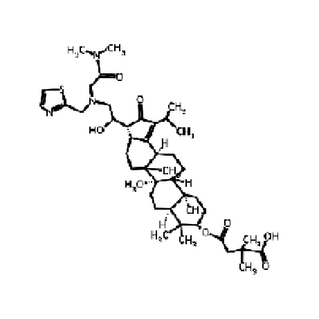 CC(C)C1=C2C(CC[C@]3(C)[C@@H]2CC[C@@H]2[C@@]4(C)CC[C@H](OC(=O)CC(C)(C)C(=O)O)C(C)(C)[C@H]4CC[C@]23C)[C@H]([C@@H](O)CN(CC(=O)N(C)C)Cc2nccs2)C1=O